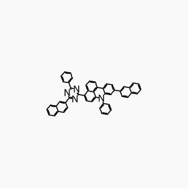 c1ccc(-c2nc(-c3ccc4ccccc4c3)nc(-c3ccc4c5c(cccc35)-c3ccc(-c5ccc6ccccc6c5)cc3N4c3ccccc3)n2)cc1